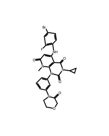 Cn1c(=O)cc(Nc2ccc(Br)cc2F)c2c(=O)n(C3CC3)c(=O)n(-c3cccc(N4CCOCC4=O)c3)c21